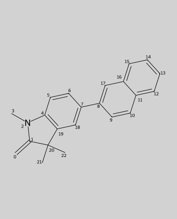 C=C1N(C)c2ccc(-c3ccc4ccccc4c3)cc2C1(C)C